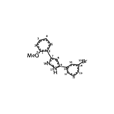 COc1ccccc1-c1cc(-c2cccc(Br)c2)[nH]n1